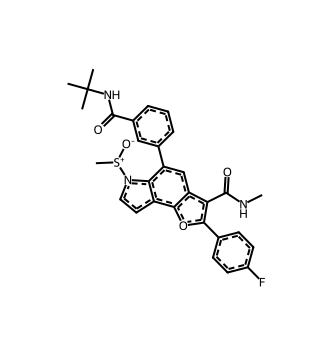 CNC(=O)c1c(-c2ccc(F)cc2)oc2c1cc(-c1cccc(C(=O)NC(C)(C)C)c1)c1c2ccn1[S+](C)[O-]